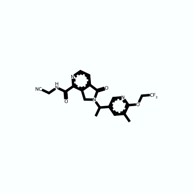 Cc1cc(C(C)N2Cc3c(ccnc3C(=O)NCC#N)C2=O)cnc1OCC(F)(F)F